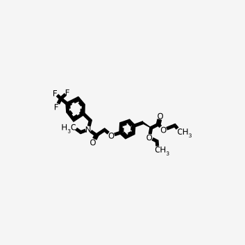 CCOC(=O)[C@H](Cc1ccc(OCC(=O)N(CC)Cc2ccc(C(F)(F)F)cc2)cc1)OCC